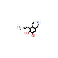 C=CCc1c(O)c(O)cc2c1C=CNC=C2